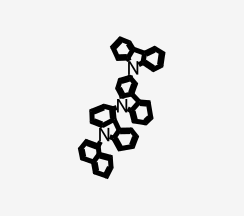 c1ccc2c(-n3c4ccccc4c4c(-n5c6ccccc6c6cc(-n7c8ccccc8c8ccccc87)ccc65)cccc43)cccc2c1